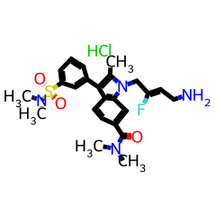 Cc1c(-c2cccc(S(=O)(=O)N(C)C)c2)c2ccc(C(=O)N(C)C)cc2n1CC(F)=CCN.Cl